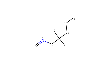 C=NCC(C)(C)CCC